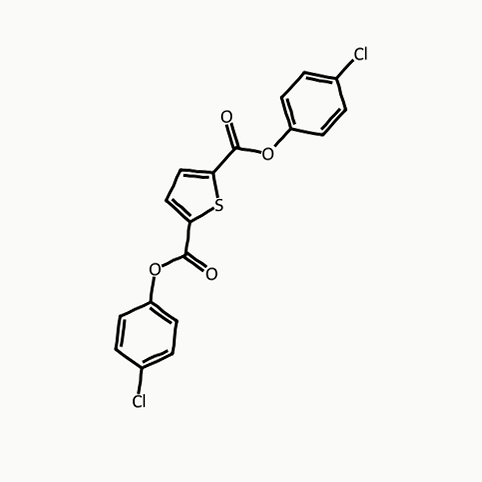 O=C(Oc1ccc(Cl)cc1)c1ccc(C(=O)Oc2ccc(Cl)cc2)s1